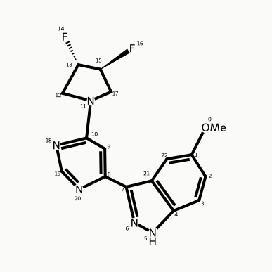 COc1ccc2[nH]nc(-c3cc(N4C[C@H](F)[C@@H](F)C4)ncn3)c2c1